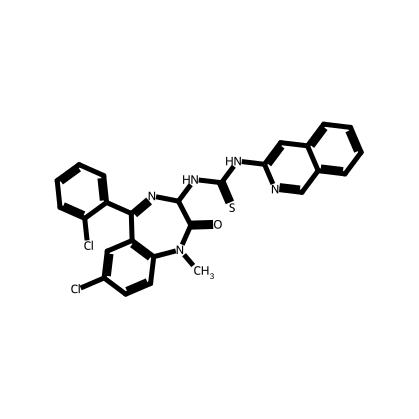 CN1C(=O)C(NC(=S)Nc2cc3ccccc3cn2)N=C(c2ccccc2Cl)c2cc(Cl)ccc21